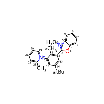 Cc1c(-c2oc3ccccc3[n+]2C)cc(C(C)(C)C)cc1-[n+]1ccccc1C